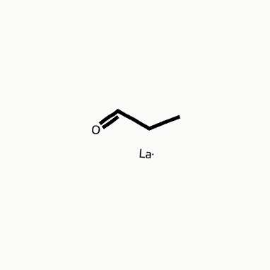 CCC=O.[La]